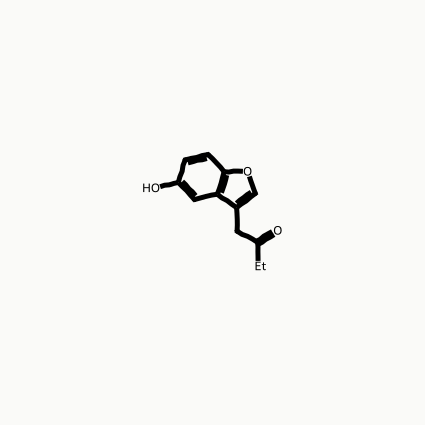 CCC(=O)Cc1coc2ccc(O)cc12